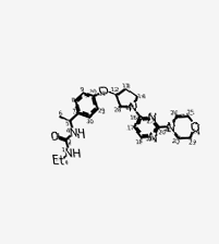 CCNC(=O)N[C@@H](C)c1ccc(OC2CCN(c3ccnc(N4CCOCC4)n3)C2)cc1